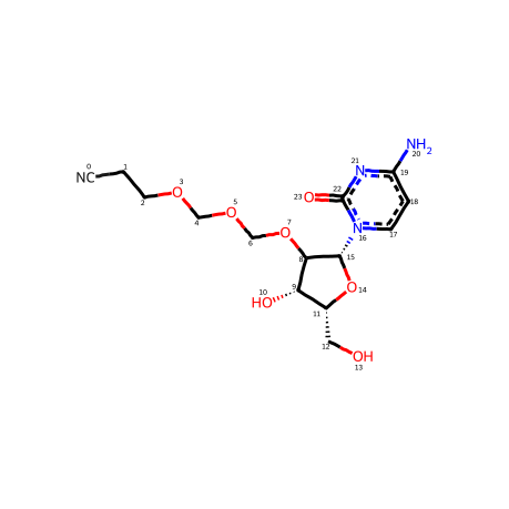 N#CCCOCOCOC1[C@@H](O)[C@@H](CO)O[C@H]1n1ccc(N)nc1=O